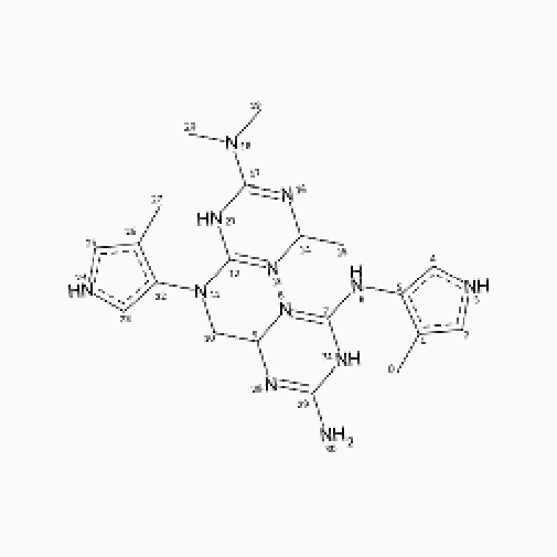 Cc1c[nH]cc1NC1=NC(CN(C2=NC(C)N=C(N(C)C)N2)c2c[nH]cc2C)N=C(N)N1